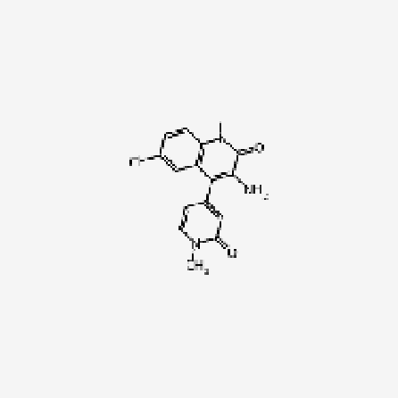 Cn1ccc(-c2c(N)c(=O)[nH]c3ccc(Cl)cc23)cc1=O